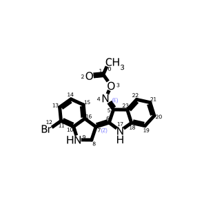 CC(=O)O/N=C1/C(=C2/CNc3c(Br)cccc32)Nc2ccccc21